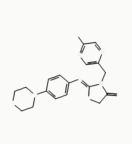 Cc1cnc(CN2C(=O)CS/C2=N\c2ccc(N3CCOCC3)cc2)cn1